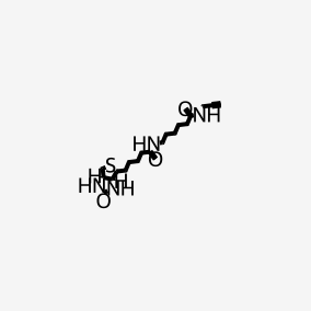 C#CCNC(=O)CCCCCNC(=O)CCCCC1SC[C@@H]2NC(=O)N[C@H]12